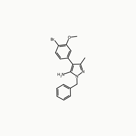 COc1cc(-c2c(C)nn(Cc3ccccc3)c2N)ccc1Br